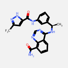 C[C@@H](Nc1ncnc2c(C(N)=O)cccc12)c1cccc(NC(=O)c2cc(C(F)(F)F)n[nH]2)c1